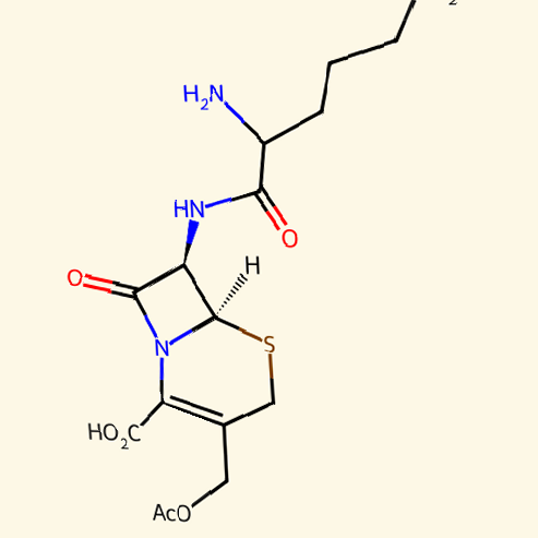 CC(=O)OCC1=C(C(=O)O)N2C(=O)[C@@H](NC(=O)C(N)CCCC(=O)O)[C@H]2SC1